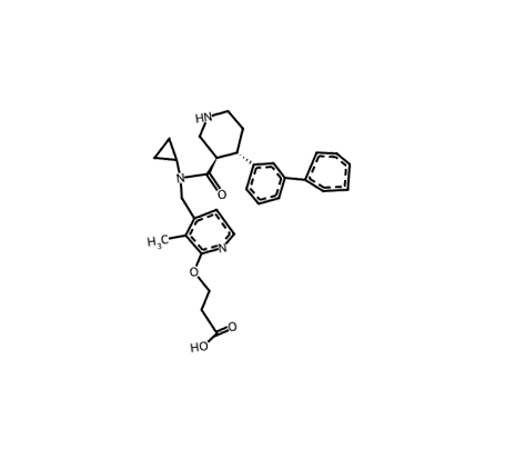 Cc1c(CN(C(=O)[C@H]2CNCC[C@@H]2c2cccc(-c3ccccc3)c2)C2CC2)ccnc1OCCC(=O)O